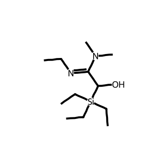 CCN=C(C(O)[Si](CC)(CC)CC)N(C)C